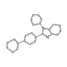 [c]1cccc(-c2ccc(-c3nc4ccccc4n3-c3ccccc3)cc2)c1